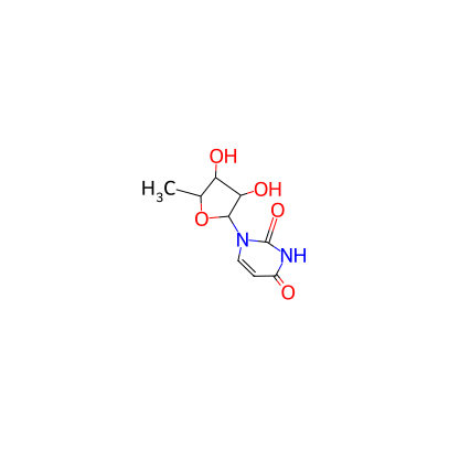 CC1OC(n2ccc(=O)[nH]c2=O)C(O)C1O